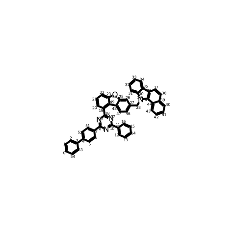 c1ccc(-c2ccc(-c3nc(-c4ccccc4)nc(-c4cccc5oc6cc(Cn7c8ccccc8c8ccc9ccccc9c87)ccc6c45)n3)cc2)cc1